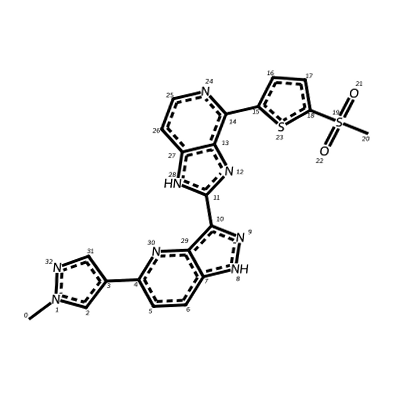 Cn1cc(-c2ccc3[nH]nc(-c4nc5c(-c6ccc(S(C)(=O)=O)s6)nccc5[nH]4)c3n2)cn1